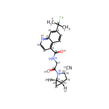 CC(C)(F)c1ccc2c(C(=O)NCC(=O)N3[C@H](C#N)C[C@@H]4C[C@@H]43)ccnc2c1